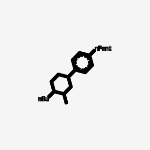 CCCCCc1ccc(C2CCC(CCCC)C(C)C2)cc1